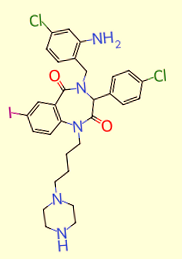 Nc1cc(Cl)ccc1CN1C(=O)c2cc(I)ccc2N(CCCCN2CCNCC2)C(=O)C1c1ccc(Cl)cc1